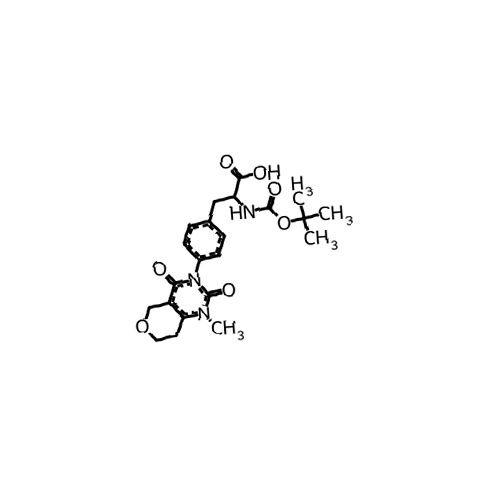 Cn1c2c(c(=O)n(-c3ccc(CC(NC(=O)OC(C)(C)C)C(=O)O)cc3)c1=O)COCC2